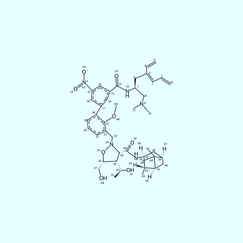 C=C/C=C(\C=C)C[C@@H](CN(C)C)NC(=O)c1cc(-c2cccc(CN3O[C@@H](CO)[C@@H]([C@H](C)O)[C@H]3C(=O)N[C@H]3C[C@H]4C[C@@H]([C@@H]3C)C4(C)C)c2OC)cc([N+](=O)[O-])c1